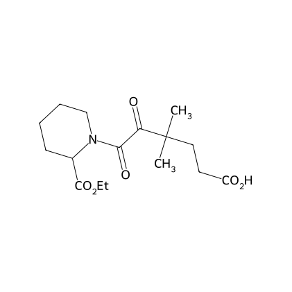 CCOC(=O)C1CCCCN1C(=O)C(=O)C(C)(C)CCC(=O)O